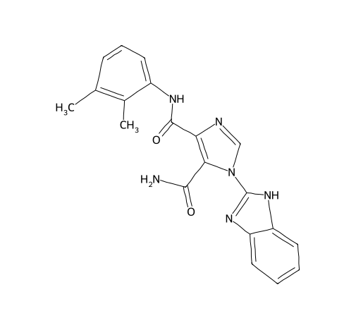 Cc1cccc(NC(=O)c2ncn(-c3nc4ccccc4[nH]3)c2C(N)=O)c1C